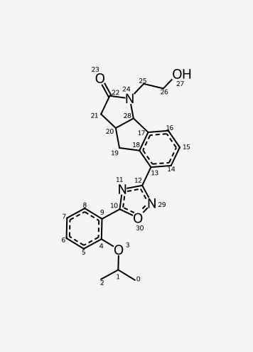 CC(C)Oc1ccccc1-c1nc(-c2cccc3c2CC2CC(=O)N(CCO)C32)no1